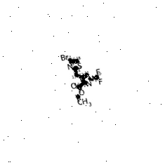 CCOC(=O)c1nn(C(F)F)cc1Cc1nc(Br)cs1